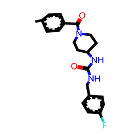 Cc1ccc(C(=O)N2CCC(NC(=O)NCc3ccc(F)cc3)CC2)cc1